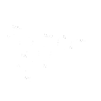 CNC(=O)c1cccc(Nc2c(C(N)=O)cnc3cc(-c4cnc(OC)nc4OC)ccc23)c1